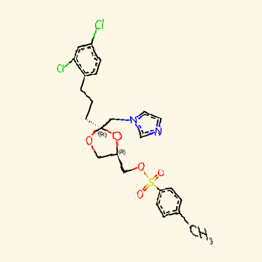 Cc1ccc(S(=O)(=O)OC[C@H]2CO[C@@](CCCc3ccc(Cl)cc3Cl)(Cn3ccnc3)O2)cc1